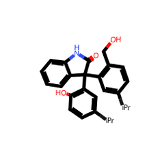 CC(C)c1ccc(O)c(C2(c3cc(C(C)C)ccc3CO)C(=O)Nc3ccccc32)c1